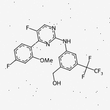 COc1cc(F)ccc1-c1nc(Nc2cc(CO)cc(C(F)(F)C(F)(F)F)c2)ncc1F